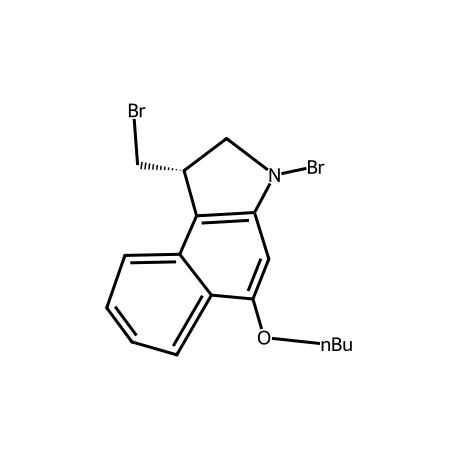 CCCCOc1cc2c(c3ccccc13)[C@H](CBr)CN2Br